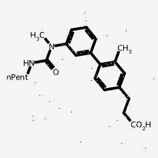 CCCCCNC(=O)N(C)c1cccc(-c2ccc(CCC(=O)O)cc2C)c1